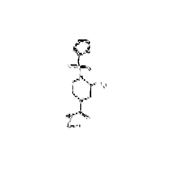 CCCCCNC(=O)N1CCN(S(=O)(=O)c2cccs2)C(C(=O)O)C1